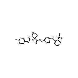 Cc1ncc(OC(=O)N[C@@]2(C(=O)NCc3ccc(Nc4ccccc4C(F)(F)F)cc3)CCOC2)cn1